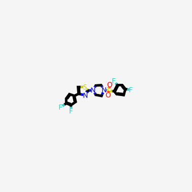 O=S(=O)(c1ccc(F)cc1F)N1CCN(c2nc(-c3ccc(F)c(F)c3)cs2)CC1